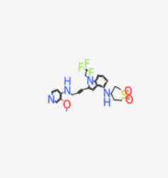 COc1cnccc1NCC#Cc1cc2c(NC3CCS(=O)(=O)CC3)cccc2n1CC(F)(F)F